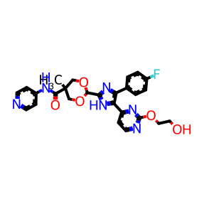 CC1(C(=O)Nc2ccncc2)COC(c2nc(-c3ccc(F)cc3)c(-c3ccnc(OCCO)n3)[nH]2)OC1